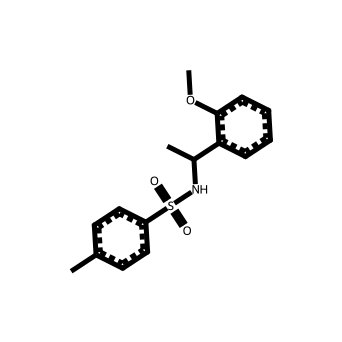 COc1ccccc1C(C)NS(=O)(=O)c1ccc(C)cc1